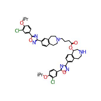 CC(C)Oc1ccc(-c2nc(-c3ccc4c(c3)CCN(CCCC(=O)OC3CNCCc5cc(-c6noc(-c7ccc(OC(C)C)c(Cl)c7)n6)ccc53)CC4)no2)cc1Cl